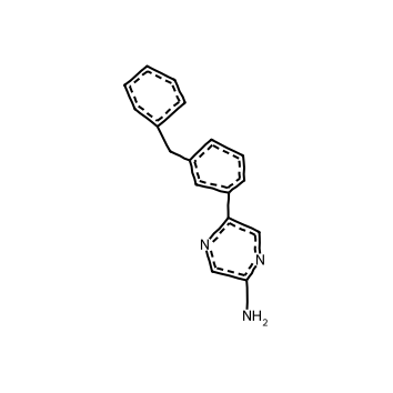 Nc1cnc(-c2cccc(Cc3ccccc3)c2)cn1